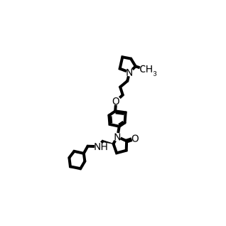 CC1CCCN1CCCOc1ccc(N2C(=O)CC[C@H]2CNCC2CCCCC2)cc1